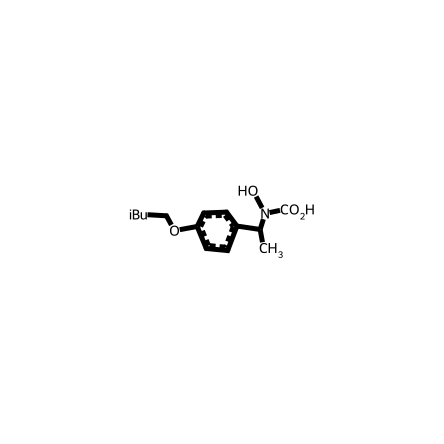 CCC(C)COc1ccc(C(C)N(O)C(=O)O)cc1